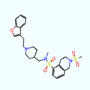 CN(CC1CCN(CCc2coc3ccccc23)CC1)S(=O)(=O)c1cccc2c1CCN(S(C)(=O)=O)C2